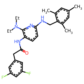 CCN(CC)c1nc(NCc2c(C)cc(C)cc2C)ccc1NC(=O)Cc1cc(F)cc(F)c1